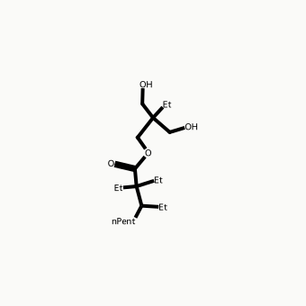 CCCCCC(CC)C(CC)(CC)C(=O)OCC(CC)(CO)CO